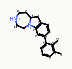 Cc1cccc(-c2ccc3c(c2)N2CCNCCC2C3)c1C